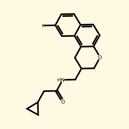 O=C(CC1CC1)NCC1COc2ccc3ccc(I)cc3c2C1